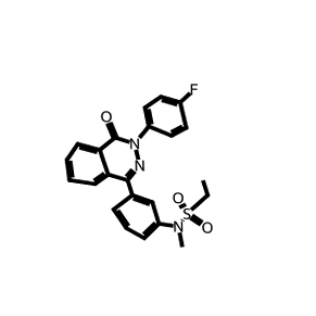 CCS(=O)(=O)N(C)c1cccc(-c2nn(-c3ccc(F)cc3)c(=O)c3ccccc23)c1